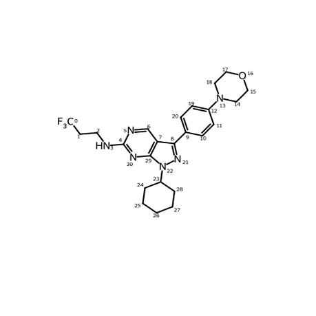 FC(F)(F)CCNc1ncc2c(-c3ccc(N4CCOCC4)cc3)nn(C3CCCCC3)c2n1